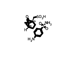 CC1(C)[C@@H]2CC[C@@]1(CS(=O)(=O)O)C(=O)C2.Nc1ccc(S(N)(=O)=O)cc1